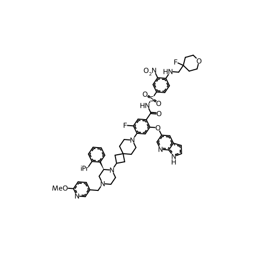 COc1ccc(CN2CCN(C3CC4(CCN(c5cc(Oc6cnc7[nH]ccc7c6)c(C(=O)NS(=O)(=O)c6ccc(NCC7(F)CCOCC7)c([N+](=O)[O-])c6)cc5F)CC4)C3)[C@H](c3ccccc3C(C)C)C2)cn1